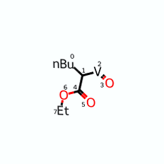 CCCC[CH]([V]=[O])C(=O)OCC